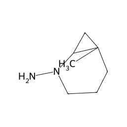 CC12CCCN(N)C1C2